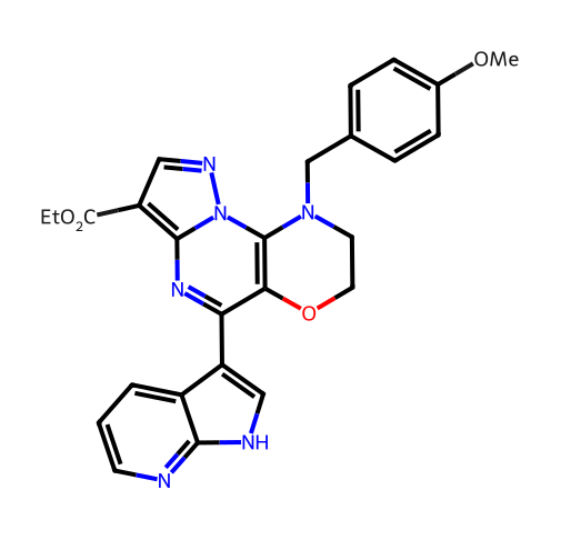 CCOC(=O)c1cnn2c3c(c(-c4c[nH]c5ncccc45)nc12)OCCN3Cc1ccc(OC)cc1